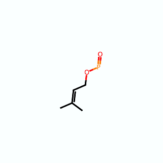 CC(C)=CCOP=O